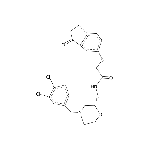 O=C(CSc1ccc2c(c1)C(=O)CC2)NC[C@H]1CN(Cc2ccc(Cl)c(Cl)c2)CCO1